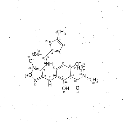 Cc1ccc([C@H](Nc2c(Nc3ccc(C(F)(F)F)c(C(=O)N(C)C)c3O)no[n+]2[O-])C(C)(C)C)s1